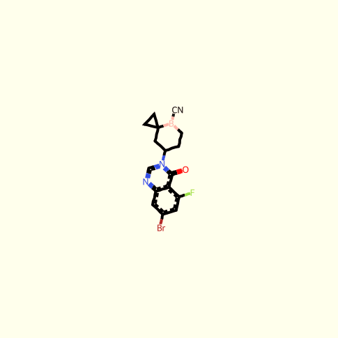 N#CB1CCC(n2cnc3cc(Br)cc(F)c3c2=O)CC12CC2